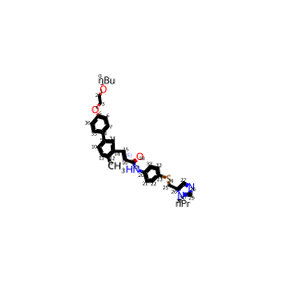 CCCCOCCOc1ccc(-c2ccc(C)c(/C=C/C(=O)Nc3ccc(SCc4cncn4CCC)cc3)c2)cc1